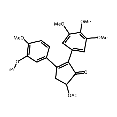 COc1ccc(C2=C(c3cc(OC)c(OC)c(OC)c3)C(=O)C(OC(C)=O)C2)cc1OC(C)C